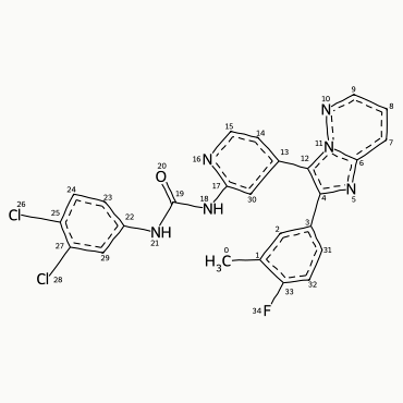 Cc1cc(-c2nc3cccnn3c2-c2ccnc(NC(=O)Nc3ccc(Cl)c(Cl)c3)c2)ccc1F